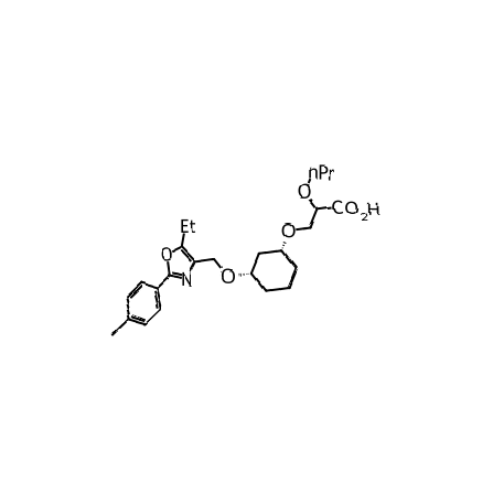 CCCOC(CO[C@@H]1CCC[C@H](OCc2nc(-c3ccc(C)cc3)oc2CC)C1)C(=O)O